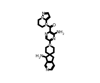 Nc1nc(N2CCC3(CC2)Cc2ccncc2C3N)cnc1C(=O)N1CCCn2nccc21